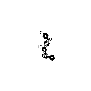 O=C(c1ccc(Cl)cc1)N1CCN([C@@H]2CN(c3nccc(-c4ccccc4)n3)C[C@H]2O)CC1